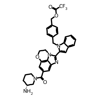 N[C@@H]1CCCN(C(=O)c2cc3c4c(c2)nc(-c2cc5ccccc5n2Cc2ccc(COC(=O)C(F)(F)F)cc2)n4CCO3)C1